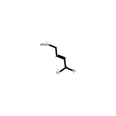 [CH2]CCCCCC=C[C](CC)CC